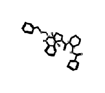 O=C(N[C@@H]1CCCC[C@@H]1C(=O)N1CC[C@@H]2[C@@H](COCc3ccccc3)Nc3ccccc3[C@@H]21)c1ccccc1